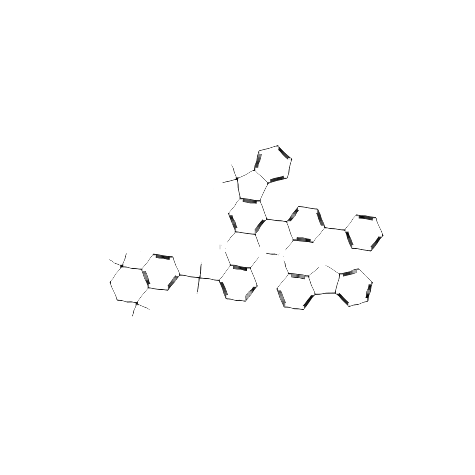 CC1(C)CCC(C)(C)c2cc(C(C)(C)c3cccc4c3Nc3cc5c(c6c3B4N(c3cccc4c3sc3ccccc34)c3cc(-c4ccccc4)ccc3-6)-c3ccccc3C5(C)C)ccc21